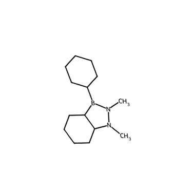 CN1B(C2CCCCC2)C2CCCCC2N1C